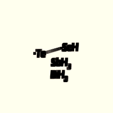 [BiH3].[SbH3].[SeH][Te]